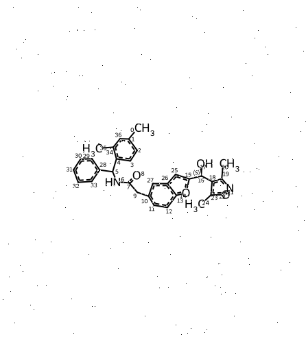 Cc1ccc(C(NC(=O)Cc2ccc3oc([C@@H](O)c4c(C)noc4C)cc3c2)c2ccccc2)c(C)c1